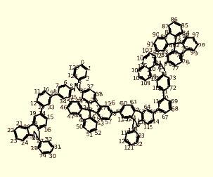 c1ccc(N(c2ccc(-c3cccc(-c4ccc5c(c4)c4ccccc4n5-c4ccccc4)c3)cc2)c2ccc3c(c2)C2(c4ccccc4-c4ccccc42)c2ccc(-c4ccc5c6cc(-c7cccc(-c8ccc(N(c9ccc%10c(c9)C9(c%11ccccc%11-c%11ccccc%119)c9ccccc9-%10)c9cccc%10ccccc9%10)cc8)c7)ccc6n(-c6ccccc6)c5c4)cc2-3)cc1